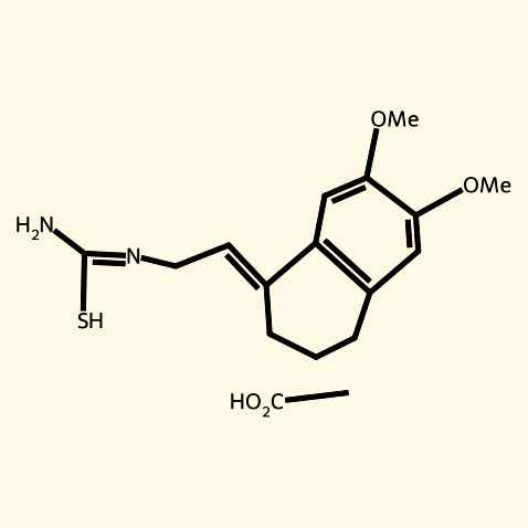 CC(=O)O.COc1cc2c(cc1OC)C(=CCN=C(N)S)CCC2